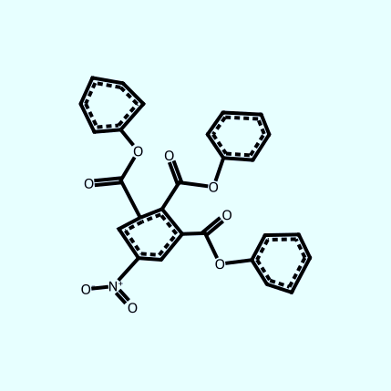 O=C(Oc1ccccc1)c1cc([N+](=O)[O-])cc(C(=O)Oc2ccccc2)c1C(=O)Oc1ccccc1